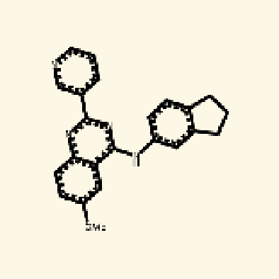 COc1ccc2nc(-c3cccnc3)nc(Nc3ccc4c(c3)CCC4)c2c1